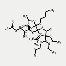 CCCCOC(OCC)(OCC)C(OCC)(OC(=O)[C@@H](N)CCC(=O)O)OC(C)C(OCC)(OCC)C(OCC)OCCC